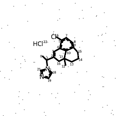 CC(C1=Cc2c(Cl)ccc3c2C(C)(CCC3)C1)n1ccnc1.Cl